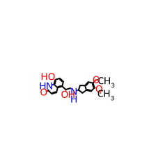 COc1cc2c(cc1OC)CC(NCC(O)c1ccc(O)c3[nH]c(=O)ccc13)C2